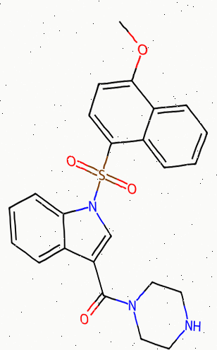 COc1ccc(S(=O)(=O)n2cc(C(=O)N3CCNCC3)c3ccccc32)c2ccccc12